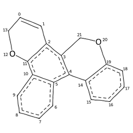 C1=Cc2c3c(c4ccccc4c2OC1)-c1ccccc1OC3